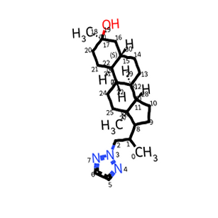 CC(Cn1nccn1)C1CC[C@H]2[C@@H]3CC[C@H]4C[C@](C)(O)CC[C@@H]4[C@H]3CC[C@]12C